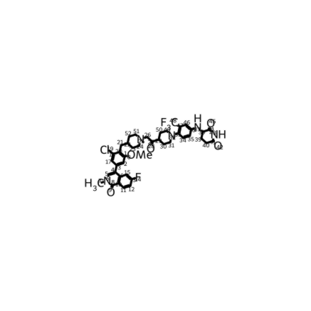 COc1cc(-c2cn(C)c(=O)c3ccc(F)cc23)cc(Cl)c1CC1CCN(CC(=O)C2CCN(c3ccc(NC4CCC(=O)NC4=O)cc3C(F)(F)F)CC2)CC1